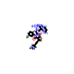 C[C@@H](NC(=O)c1c(N)nn2cccnc12)c1nc2scc(C#Cc3cnn(C)c3)c2c(=O)n1-c1cccc(F)c1